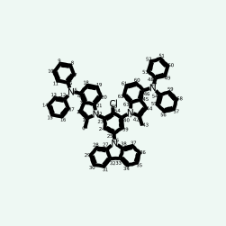 Cc1cc2c(N(c3ccccc3)c3ccccc3)cccc2n1-c1cc(-n2c3ccccc3c3ccccc32)cc(-n2c(C)cc3c(N(c4ccccc4)c4ccccc4)cccc32)c1Cl